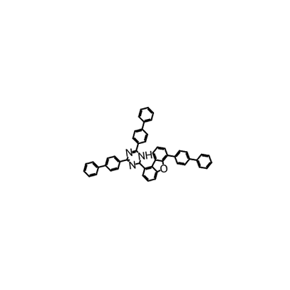 c1ccc(-c2ccc(C3=NC(c4cccc5oc6c(-c7ccc(-c8ccccc8)cc7)cccc6c45)NC(c4ccc(-c5ccccc5)cc4)=N3)cc2)cc1